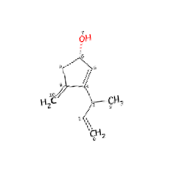 C=CC(C)C1=C[C@@H](O)CC1=C